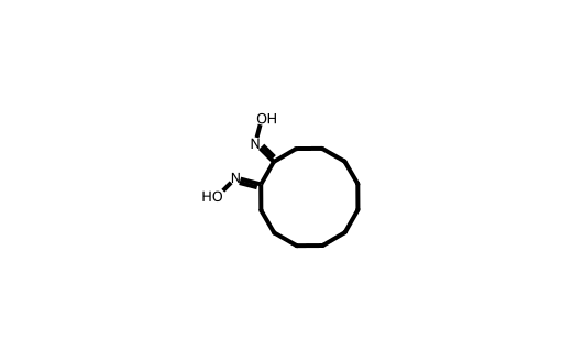 ON=C1CCCCCCCCCCC1=NO